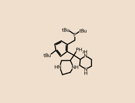 CC(C)(C)c1ccc(CP(C(C)(C)C)C(C)(C)C)c(C(P)(C2CNCCN2)C2CNCCN2)c1